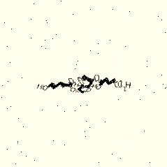 O=C(O)CCCC(=O)O[C@@H]1CO[C@H]2[C@@H]1OC[C@@H]2OC(=O)CCCCO